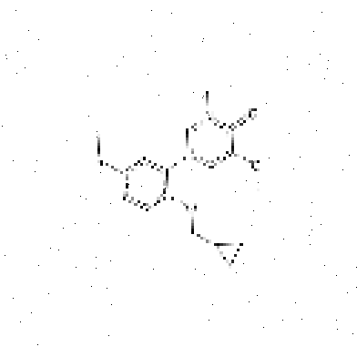 COc1cc(-c2cc(SC)ccc2OCC2CC2)cn(C)c1=O